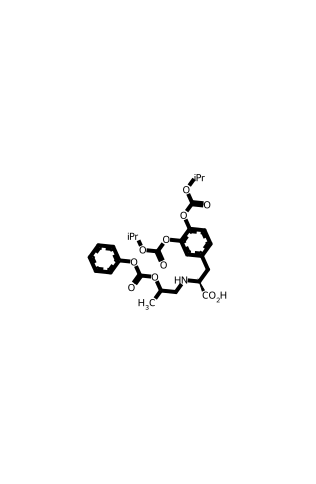 CC(C)OC(=O)Oc1ccc(C[C@H](NCC(C)OC(=O)Oc2ccccc2)C(=O)O)cc1OC(=O)OC(C)C